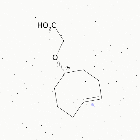 O=C(O)CO[C@@H]1CC/C=C/CCC1